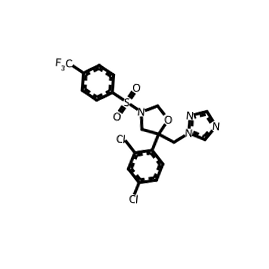 O=S(=O)(c1ccc(C(F)(F)F)cc1)N1COC(Cn2cncn2)(c2ccc(Cl)cc2Cl)C1